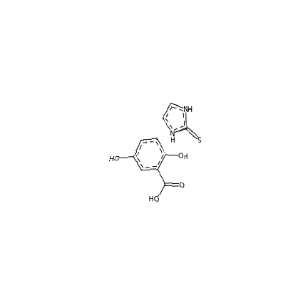 O=C(O)c1cc(O)ccc1O.S=c1[nH]cc[nH]1